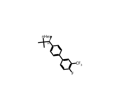 CCCCCCC(C)(C)[C@@H](C)c1ccc(-c2ccc(F)c(C(F)(F)F)c2)cc1